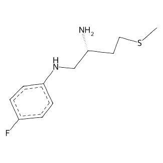 CSCC[C@@H](N)CNc1ccc(F)cc1